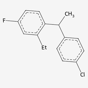 CCc1cc(F)ccc1C(C)c1ccc(Cl)cc1